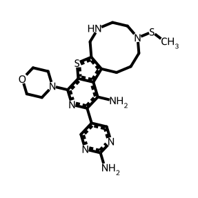 CSN1CCCc2c(sc3c(N4CCOCC4)nc(-c4cnc(N)nc4)c(N)c23)CNCC1